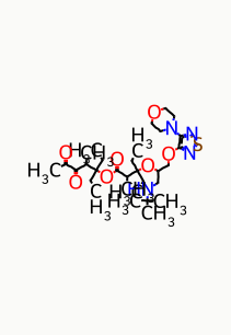 CCC(CC)(OC(CNC(C)(C)C)COc1nsnc1N1CCOCC1)C(C)C(=O)OC(CC)(CC)C(C)C(=O)C(C)=O